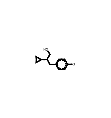 OCC(Cc1ccc(Cl)cc1)C1CC1